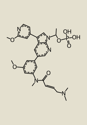 COc1cc(-c2cnc3c(c2)c(-c2ccnc(OC)c2)cn3C(C)OP(=O)(O)O)cc(N(C)C(=O)C=CCN(C)C)c1